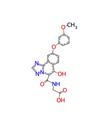 COc1cccc(Oc2ccc3c(O)c(C(=O)NCC(=O)O)n4ncnc4c3c2)c1